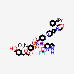 CC(C)c1ccccc1[C@@H]1COCCN1C1CC2(CCN(c3ccc(C(=O)NS(=O)(=O)c4cc5c(c([N+](=O)[O-])c4)O[C@H](CC4CCC(C)(O)CC4)CO5)c(Oc4cc5cc[nH]c5nc4OC(F)F)c3)CC2)C1